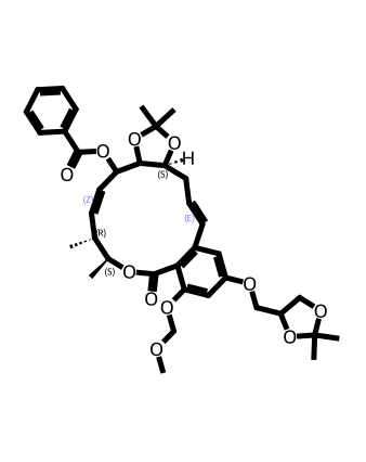 COCOc1cc(OCC2COC(C)(C)O2)cc2c1C(=O)O[C@@H](C)[C@H](C)/C=C\C(OC(=O)c1ccccc1)C1OC(C)(C)O[C@H]1C/C=C/2